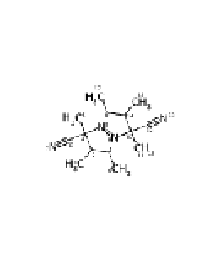 CCC(C)C(C)(C#N)/N=N/C(C)(C#N)C(C)CC